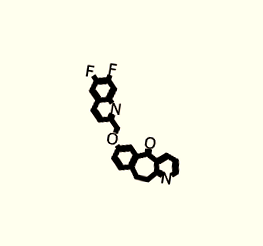 O=C1c2cc(OCc3ccc4cc(F)c(F)cc4n3)ccc2CCc2ncccc21